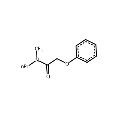 CCCN(C(=O)COc1ccccc1)C(F)(F)F